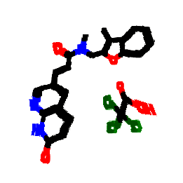 Cc1c(CN(C)C(=O)C=Cc2cnc3c(c2)CCC(=O)N3)oc2ccccc12.O=C(O)C(Cl)(Cl)Cl